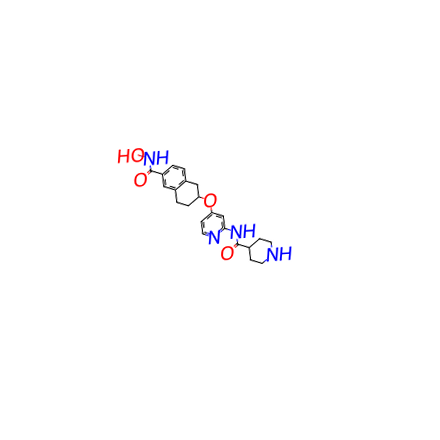 O=C(NO)c1ccc2c(c1)CCC(Oc1ccnc(NC(=O)C3CCNCC3)c1)C2